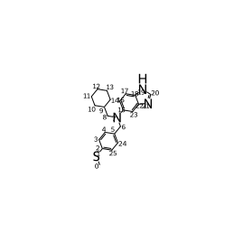 CSc1ccc(CN(CC2CCCCC2)c2ccc3[nH]cnc3c2)cc1